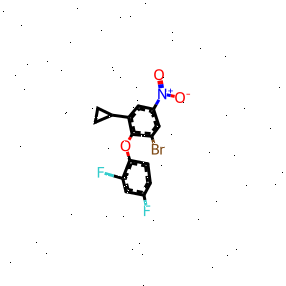 O=[N+]([O-])c1cc(Br)c(Oc2ccc(F)cc2F)c(C2CC2)c1